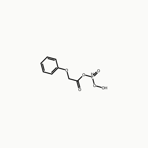 O=C(COc1ccccc1)O[PH](=O)OO